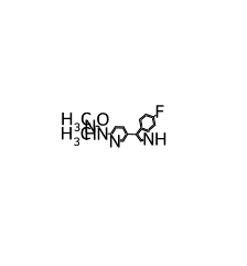 CN(C)C(=O)Nc1ccc(-c2c[nH]c3cc(F)ccc23)cn1